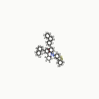 c1cc(-c2ccccc2N(c2ccc(-c3ccc4c(ccc5ccccc54)c3)cc2)c2ccc3sc4ccccc4c3c2)cc(-c2cccc3ccccc23)c1